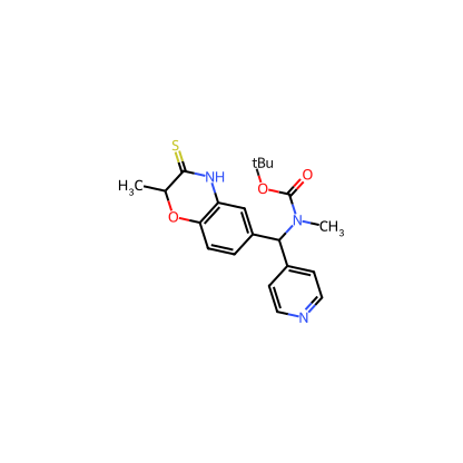 CC1Oc2ccc(C(c3ccncc3)N(C)C(=O)OC(C)(C)C)cc2NC1=S